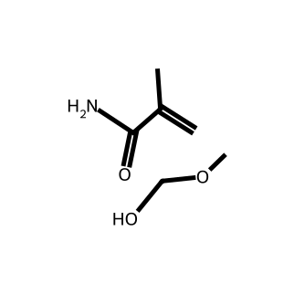 C=C(C)C(N)=O.COCO